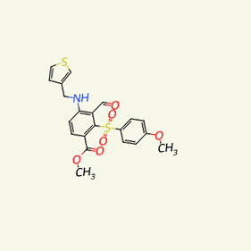 COC(=O)c1ccc(NCc2ccsc2)c(C=O)c1S(=O)(=O)c1ccc(OC)cc1